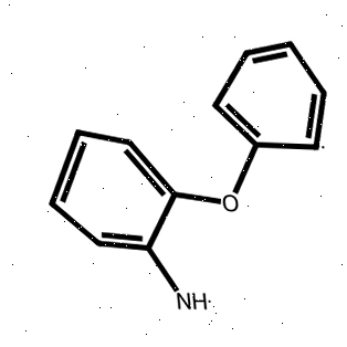 [NH]c1ccccc1Oc1[c]cccc1